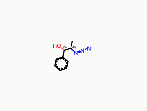 C[C@@H](N=[N+]=[N-])[C@@H](O)c1ccccc1